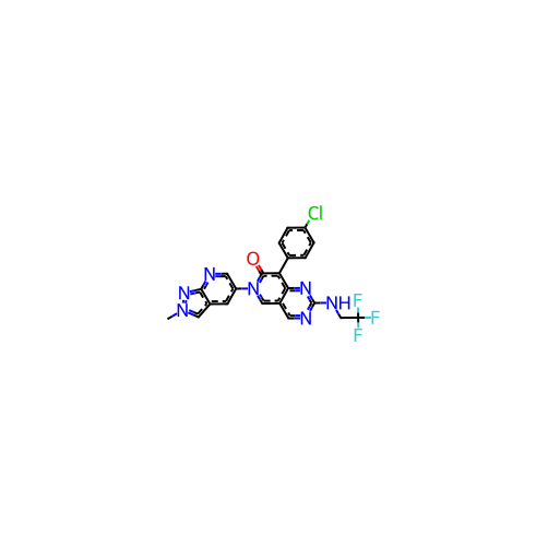 Cn1cc2cc(-n3cc4cnc(NCC(F)(F)F)nc4c(-c4ccc(Cl)cc4)c3=O)cnc2n1